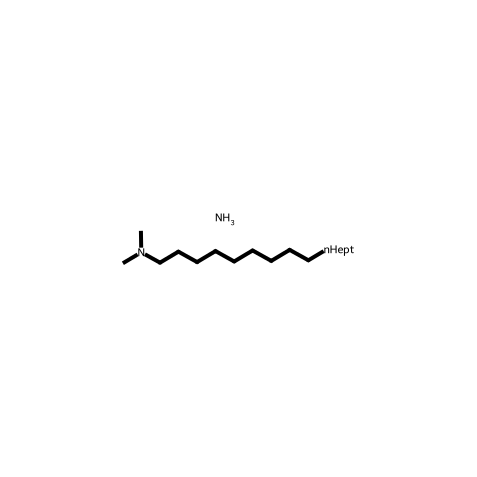 CCCCCCCCCCCCCCCCN(C)C.N